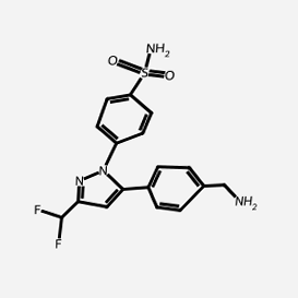 NCc1ccc(-c2cc(C(F)F)nn2-c2ccc(S(N)(=O)=O)cc2)cc1